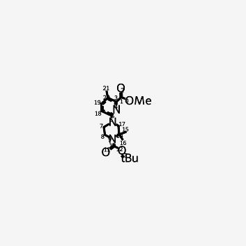 COC(=O)c1nc(N2CCN(C(=O)OC(C)(C)C)C(C)(C)C2)ccc1C